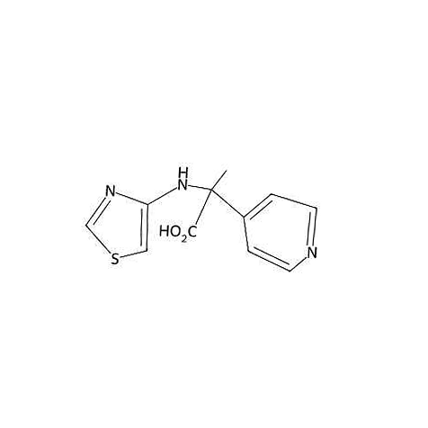 CC(Nc1cscn1)(C(=O)O)c1ccncc1